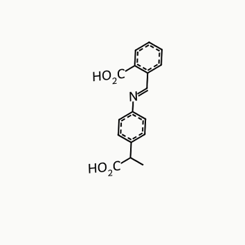 CC(C(=O)O)c1ccc(N=Cc2ccccc2C(=O)O)cc1